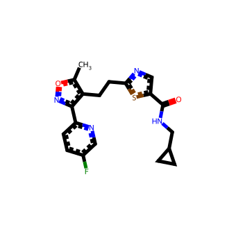 Cc1onc(-c2ccc(F)cn2)c1CCc1ncc(C(=O)NCC2CC2)s1